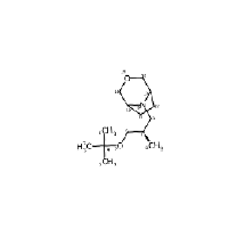 C[C@@H](COC(C)(C)C)CN1C2CCC1COC2